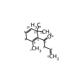 C=CCC(=O)C1=C(C)CC=CC1(C)C